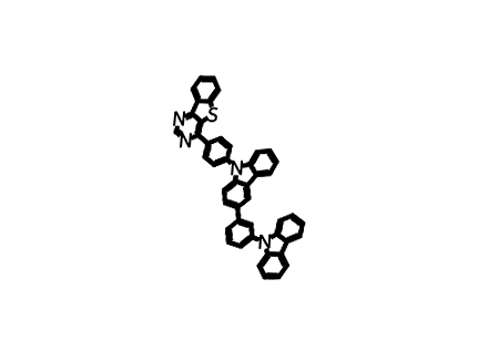 c1cc(-c2ccc3c(c2)c2ccccc2n3-c2ccc(-c3ncnc4c3sc3ccccc34)cc2)cc(-n2c3ccccc3c3ccccc32)c1